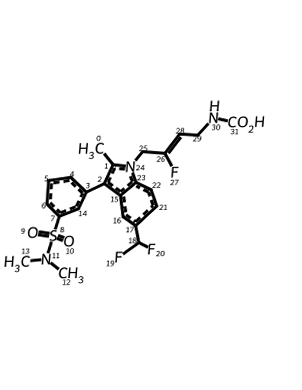 Cc1c(-c2cccc(S(=O)(=O)N(C)C)c2)c2cc(C(F)F)ccc2n1CC(F)=CCNC(=O)O